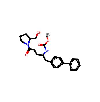 CC(C)(C)OC(=O)NC(CCC(=O)N1CCC[C@H]1CO)Cc1ccc(-c2ccccc2)cc1